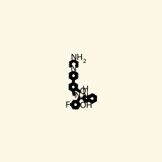 NC1CCN(c2ccc(-c3ccc4c(c3)C(=O)N([C@@H](c3cc5ccccc5[nH]3)c3cc(F)ccc3O)C4)cc2)CC1